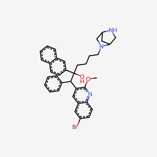 COc1nc2ccc(Br)cc2cc1C(c1ccccc1)C(O)(CCCCN1CC2CC1CN2)c1ccc2ccccc2c1